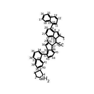 C1CC[SiH2]C1.CC1=Cc2c(-c3cccc4ccccc34)cccc2C1[CH]([Sc])C1C(C)=Cc2c(-c3cccc4ccccc34)cccc21